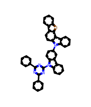 c1ccc(-c2nc(-c3ccccc3)nc(-n3c4ccccc4c4cc(-n5c6ccccc6c6c7sc8ccccc8c7ccc65)ccc43)n2)cc1